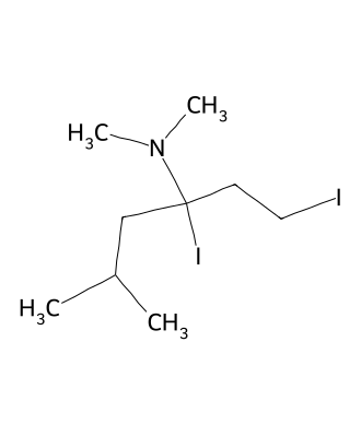 CC(C)CC(I)(CCI)N(C)C